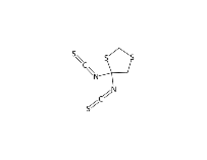 S=C=NC1(N=C=S)CSCS1